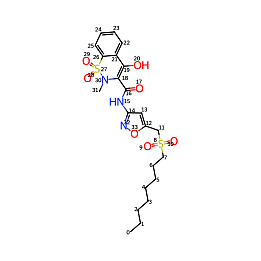 CCCCCCCCS(=O)(=O)Cc1cc(NC(=O)C2=C(O)c3ccccc3S(=O)(=O)N2C)no1